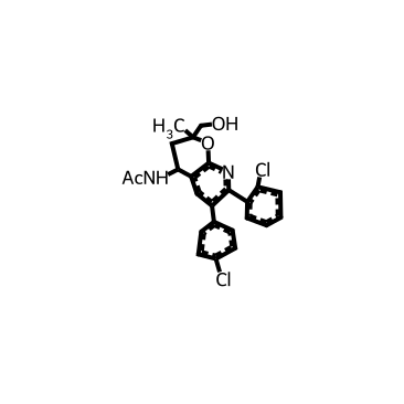 CC(=O)NC1CC(C)(CO)Oc2nc(-c3ccccc3Cl)c(-c3ccc(Cl)cc3)cc21